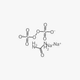 NC(N)=O.O=S(=O)([O-])OOS(=O)(=O)[O-].[Na+].[Na+]